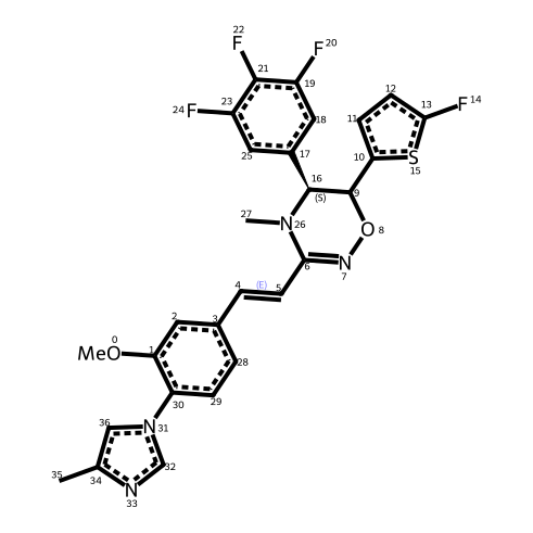 COc1cc(/C=C/C2=NOC(c3ccc(F)s3)[C@H](c3cc(F)c(F)c(F)c3)N2C)ccc1-n1cnc(C)c1